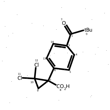 CC(C)(C)C(=O)c1ccc(C2(C(=O)O)CC2(Cl)Cl)cc1